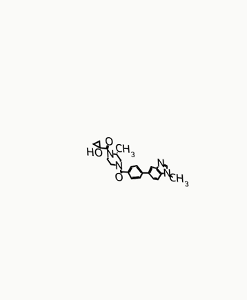 C[C@@H]1CN(C(=O)c2ccc(-c3ccc4c(c3)ncn4C)cc2)CCN1C(=O)C1(O)CC1